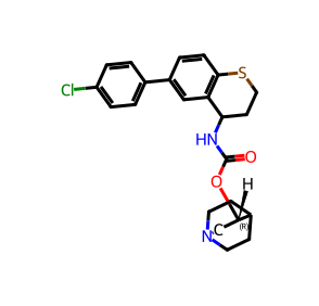 O=C(NC1CCSc2ccc(-c3ccc(Cl)cc3)cc21)O[C@H]1CN2CCC1CC2